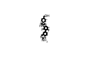 Nc1ncc2cc(-c3c(F)ccc(NS(=O)(=O)N4CCC(CO)CC4)c3F)ccc2n1